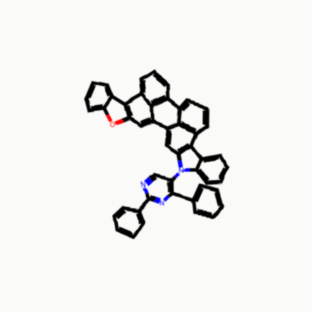 c1ccc(-c2ncc(-n3c4ccccc4c4c5cccc6c7cccc8c9c(cc(c(cc43)c65)c78)oc3ccccc39)c(-c3ccccc3)n2)cc1